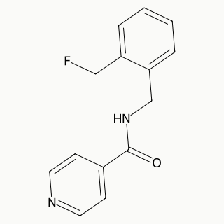 O=C(NCc1ccccc1CF)c1ccncc1